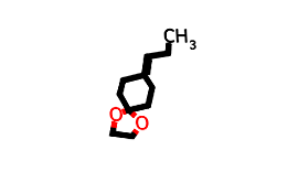 CCC=C1CCC2(CC1)OCCO2